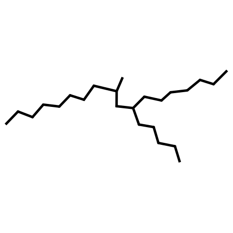 CCCCCCCCC(C)CC(CCCCC)CCCCCCC